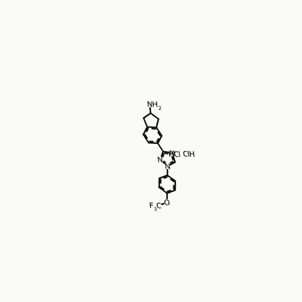 Cl.Cl.NC1Cc2ccc(-c3ncn(-c4ccc(OC(F)(F)F)cc4)n3)cc2C1